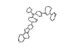 c1ccc(-c2cccc(-c3ccc(N(c4ccccc4)c4ccc(-c5ccc6c(c5)sc5c7ccccc7ccc65)cc4)cc3)c2)cc1